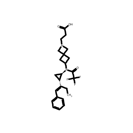 CC/C(=C\c1ccccc1)[C@@H]1C[C@H]1N(C(=O)C(F)(F)F)C1CC2(C1)CN(CCC(=O)O)C2